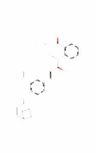 COc1cc(/C=C/C(=O)N(N)c2ccccc2C(=O)ON)ccc1OC1CCC2CC1C2